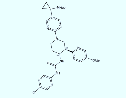 COc1ccc([C@@H]2CN(c3ccc(C4(NC(C)=O)CC4)cn3)CC[C@H]2NC(=O)Nc2ccc(Cl)cc2)nc1